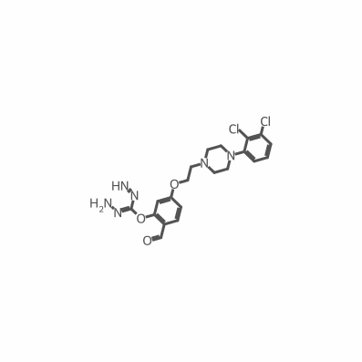 N=NC(=NN)Oc1cc(OCCN2CCN(c3cccc(Cl)c3Cl)CC2)ccc1C=O